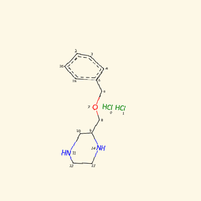 Cl.Cl.c1ccc(COCC2CNCCN2)cc1